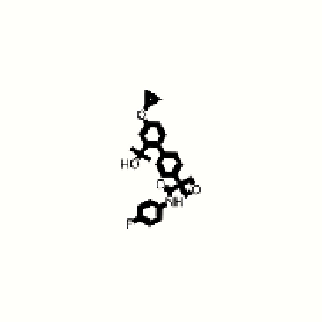 CC(C)(O)c1cc(OC2CC2)ccc1-c1ccc(C2(C(=O)Nc3ccc(F)cc3)COC2)cc1